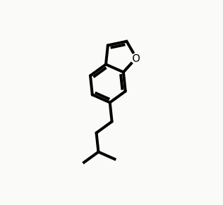 CC(C)CCc1ccc2ccoc2c1